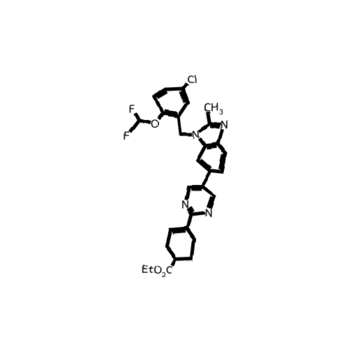 CCOC(=O)C1CC=C(c2ncc(-c3ccc4nc(C)n(Cc5cc(Cl)ccc5OC(F)F)c4c3)cn2)CC1